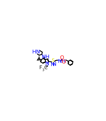 O=C(NCc1nnc(-c2cc3c(N[C@@H]4CCNC[C@@H]4C4CC4)cccc3n2CC(F)(F)F)s1)OCc1ccccc1